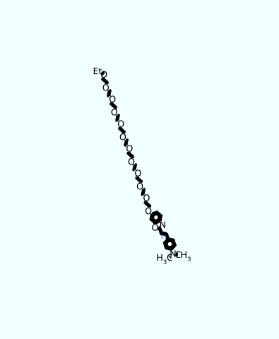 CCOCCOCCOCCOCCOCCOCCOCCOCCOCCOCCOCCOc1ccc2nc(/C=C/c3ccc(N(C)C)cc3)oc2c1